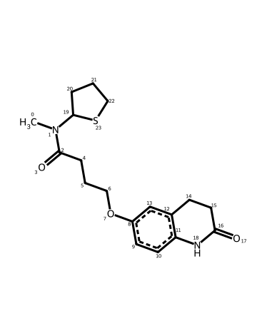 CN(C(=O)CCCOc1ccc2c(c1)CCC(=O)N2)C1CCCS1